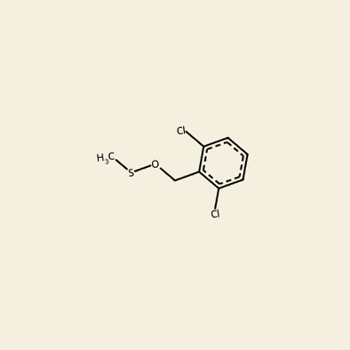 CSOCc1c(Cl)cccc1Cl